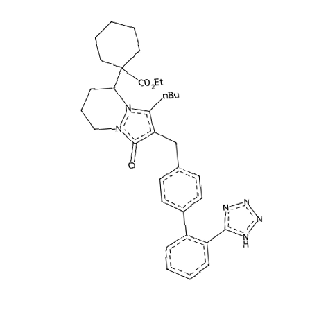 CCCCc1c(Cc2ccc(-c3ccccc3-c3nnn[nH]3)cc2)c(=O)n2n1C(C1(C(=O)OCC)CCCCC1)CCC2